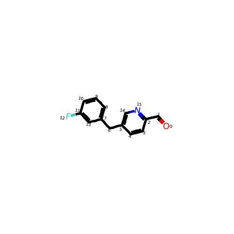 O=Cc1ccc(Cc2cccc(F)c2)cn1